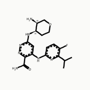 CC(C)c1nc(Nc2cc(N[C@@H]3CCOC[C@@H]3N)nnc2C(N)=O)ccc1F